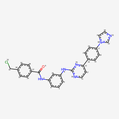 O=C(Nc1cccc(Nc2nccc(-c3ccc(-n4ccnc4)cc3)n2)c1)c1ccc(CCl)cc1